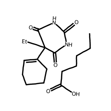 CCC1(C2=CCCCC2)C(=O)NC(=O)NC1=O.CCCCCC(=O)O